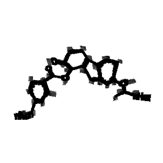 CCCCCCCCCc1ccc(C(=O)OC2C(=O)C=CC3=C2Cc2cc(OC(C)CCCCCC)ccc23)cc1